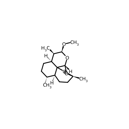 CO[C@H]1O[C@@H]2O[C@@]3(C)CC[C@H]4[C@H](C)CC[C@@H]([C@H]1C)C24OO3